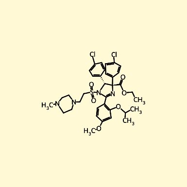 CCOC(=O)[C@@]1(c2ccc(Cl)cc2)N=C(c2ccc(OC)cc2OC(C)C)N(S(=O)(=O)CCN2CCN(C)CC2)[C@@H]1c1ccc(Cl)cc1